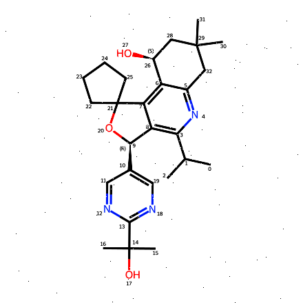 CC(C)c1nc2c(c3c1[C@@H](c1cnc(C(C)(C)O)nc1)OC31CCCC1)[C@@H](O)CC(C)(C)C2